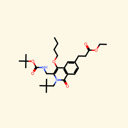 CCCCOc1c(CNC(=O)OC(C)(C)C)n(CC(C)(C)C)c(=O)c2ccc(CCC(=O)OCC)cc12